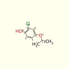 CC(C)Oc1ccc(O)c(Cl)c1